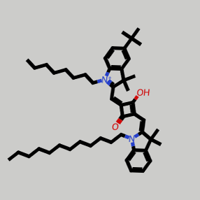 CCCCCCCCCCCCN1/C(=C\C2=C(O)C(=C\C3=[N+](CCCCCCCC)c4ccc(C(C)(C)C)cc4C3(C)C)/C2=O)C(C)(C)c2ccccc21